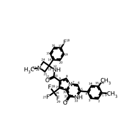 Cc1ccc(-c2cn3cc(C(=O)NC4(c5ccc(F)cc5)CN(C)C4)c(C(F)(F)F)c3c(=O)[nH]2)cc1C